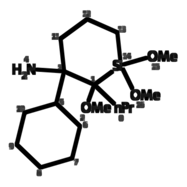 CCCC1(OC)C(N)(C2CCCCC2)CCC[Si]1(OC)OC